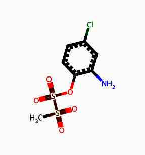 CS(=O)(=O)S(=O)(=O)Oc1ccc(Cl)cc1N